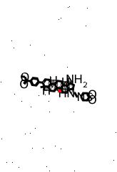 COC(=O)c1ccc(C2=CC[C@]3(C)[C@H]4CC[C@@H]5[C@H]6[C@H](N)CC[C@]6(NCCN6CCS(=O)(=O)CC6)CC[C@@]5(C)[C@]4(C)CC[C@H]3C2(C)C)cc1